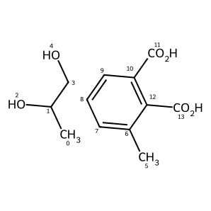 CC(O)CO.Cc1cccc(C(=O)O)c1C(=O)O